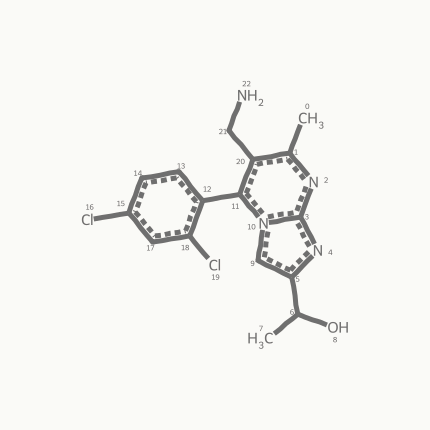 Cc1nc2nc(C(C)O)cn2c(-c2ccc(Cl)cc2Cl)c1CN